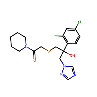 O=C(CSCC(O)(Cn1cncn1)c1ccc(Cl)cc1Cl)N1CCCCC1